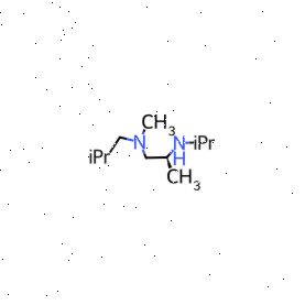 CC(C)CN(C)C[C@H](C)NC(C)C